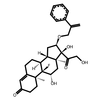 C=C(CO[C@@H]1C[C@H]2[C@@H]3CCC4=CC(=O)CC[C@]4(C)[C@@]3(F)[C@@H](O)C[C@]2(C)[C@@]1(O)C(=O)CO)c1ccccc1